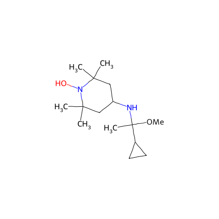 COC(C)(NC1CC(C)(C)N(O)C(C)(C)C1)C1CC1